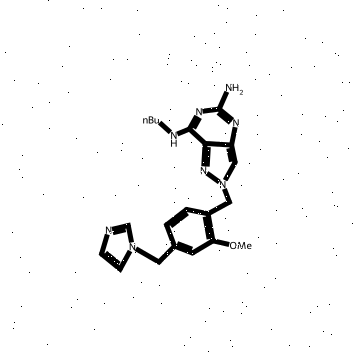 CCCCNc1nc(N)nc2cn(Cc3ccc(Cn4ccnc4)cc3OC)nc12